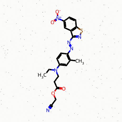 CCN(CCC(=O)OCC#N)c1ccc(N=Nc2nsc3ccc([N+](=O)[O-])cc23)c(C)c1